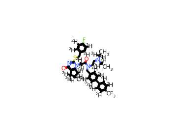 [2H]c1c([2H])c(CSc2nc(=O)c3c(n2C([2H])([2H])C(=O)N(CCN(C([2H])([2H])C)C([2H])([2H])C)Cc2c([2H])c([2H])c(-c4c([2H])c([2H])c(C(F)(F)F)c([2H])c4[2H])c([2H])c2[2H])C([2H])([2H])C([2H])(C)C3([2H])[2H])c([2H])c([2H])c1F